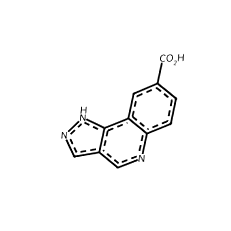 O=C(O)c1ccc2ncc3cn[nH]c3c2c1